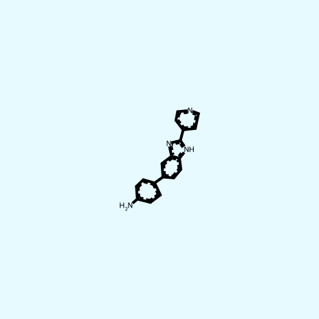 Nc1ccc(-c2ccc3[nH]c(-c4ccncc4)nc3c2)cc1